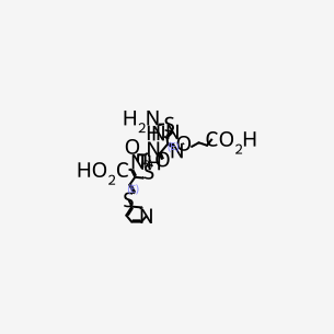 Nc1nc(/C(=N\OCCCC(=O)O)C(=O)NC2C(=O)N3C(C(=O)O)=C(/C=C/Sc4cccnc4)CS[C@H]23)ns1